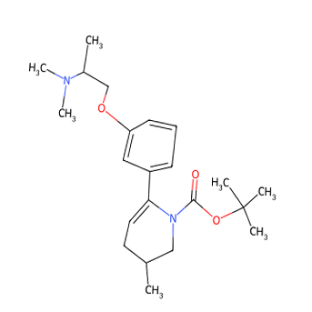 CC1CC=C(c2cccc(OCC(C)N(C)C)c2)N(C(=O)OC(C)(C)C)C1